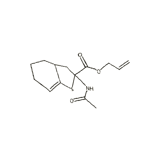 C=CCOC(=O)C1(NC(C)=O)CC2CCCC=C2S1